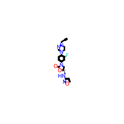 C#CCN1CCN(c2ccc(N3C[C@H](CNc4ccon4)OC3=O)cc2F)C=N1